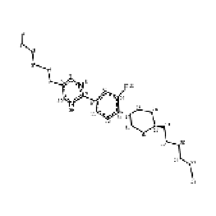 CCCCCCc1cnc(-c2ccc([C@H]3CC[C@H](CCCCCC)CC3)c(F)c2)nc1